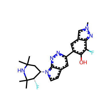 Cn1cc2cc(-c3cc4ccn([C@H]5CC(C)(C)NC(C)(C)[C@H]5F)c4nn3)c(O)c(F)c2n1